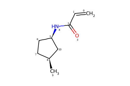 C=CC(=O)N[C@@H]1CC[C@H](C)C1